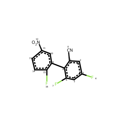 N#Cc1cc(F)cc(F)c1-c1cc([N+](=O)[O-])ccc1F